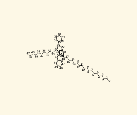 CCCCCCCCCCCCCCCCCCCn1cc(CC(C)c2ccccc2)[n+](CCCCCCCCCCC)c1Cc1ccccc1